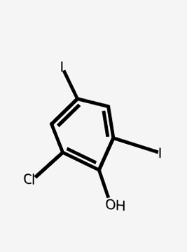 Oc1c(Cl)cc(I)cc1I